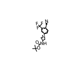 CC(C)(C)OC(=O)NC1CN(c2ccc(C#N)c(C(F)(F)F)c2)C1